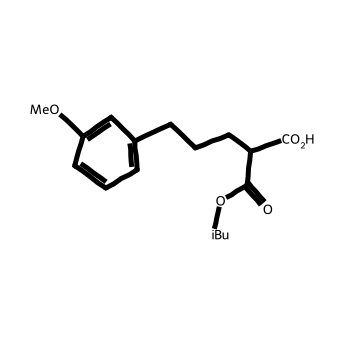 CCC(C)OC(=O)C(CCCc1cccc(OC)c1)C(=O)O